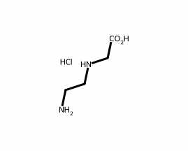 Cl.NCCNCC(=O)O